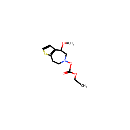 CCOC(=O)ON1CCc2sccc2C(OC)C1